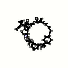 C=Nc1c2cc(C3(C#N)CC3)c(=O)n1CC(=O)N(C)CCCCN1CCC(CC1)C(F)(F)c1cccc(c1)[C@@H](C)N/C2=N/C